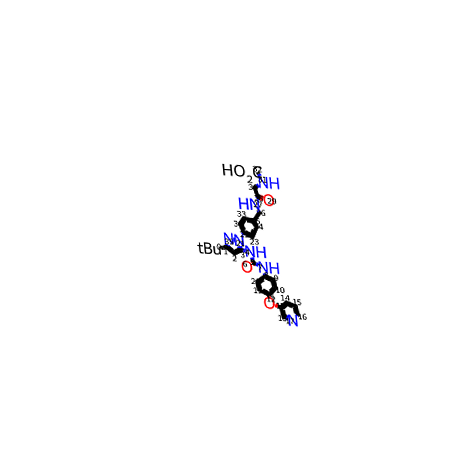 CC(C)(C)c1cc(NC(=O)Nc2ccc(Oc3cccnc3)cc2)n(-c2ccc(CNC(=O)CNC(=O)O)cc2)n1